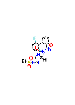 CCS(=O)(=O)N[C@H]1C[C@@H]2CN(c3noc4cccc(-c5c(F)cccc5F)c34)C(=O)N2C1